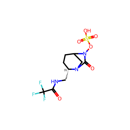 O=C1N(OS(=O)(=O)O)C2CC[C@@H](CNC(=O)C(F)(F)F)N1C2